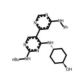 CCCCNc1ncc(-c2cc(NC(C)C)ncn2)c(N[C@H]2CC[C@H](O)CC2)n1